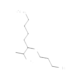 CCCCCCCCCCCCCC(OCCCO)C(C)OC(C)=O